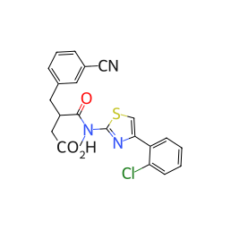 CN(C(=O)C(CC(=O)O)Cc1cccc(C#N)c1)c1nc(-c2ccccc2Cl)cs1